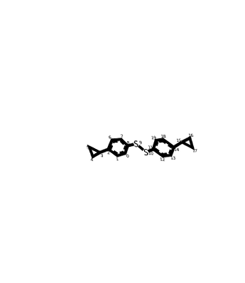 c1cc(C2CC2)ccc1SSc1ccc(C2CC2)cc1